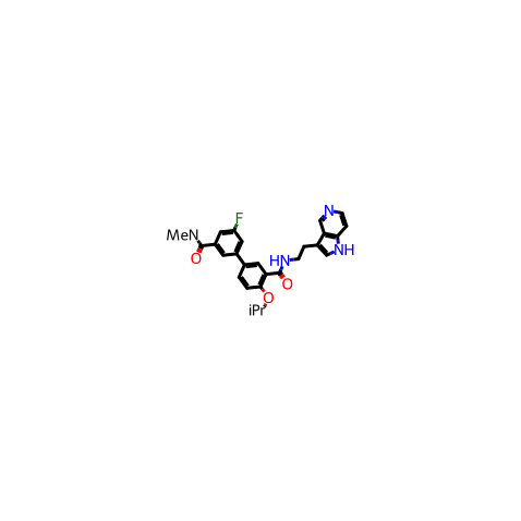 CNC(=O)c1cc(F)cc(-c2ccc(OC(C)C)c(C(=O)NCCc3c[nH]c4ccncc34)c2)c1